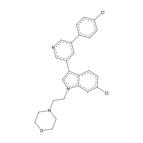 Clc1ccc(-c2cncc(-c3cn(CCN4CCOCC4)c4cc(Cl)ccc34)c2)cc1